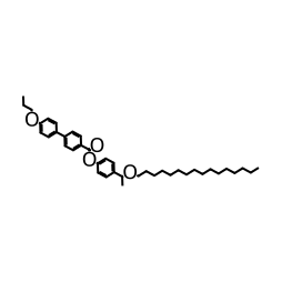 CCCCCCCCCCCCCCCCOC(C)c1ccc(OC(=O)c2ccc(-c3ccc(OCCC)cc3)cc2)cc1